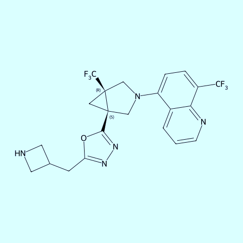 FC(F)(F)c1ccc(N2C[C@]3(c4nnc(CC5CNC5)o4)C[C@]3(C(F)(F)F)C2)c2cccnc12